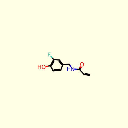 C=CC(=O)NCc1ccc(O)c(F)c1